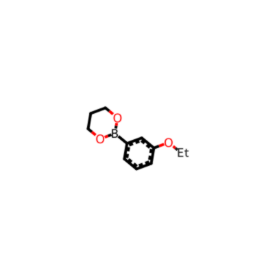 CCOc1cccc(B2OCCCO2)c1